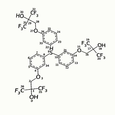 OC(COc1cccc([SH](c2cccc(OCC(O)(C(F)(F)F)C(F)(F)F)c2)c2cccc(OCC(O)(C(F)(F)F)C(F)(F)F)c2)c1)(C(F)(F)F)C(F)(F)F